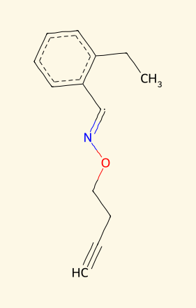 C#CCCON=[C]c1ccccc1CC